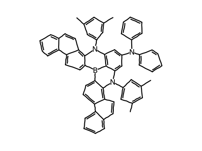 Cc1cc(C)cc(N2c3cc(N(c4ccccc4)c4ccccc4)cc4c3B(c3ccc5c(ccc6ccccc65)c32)c2ccc3c(ccc5ccccc53)c2N4c2cc(C)cc(C)c2)c1